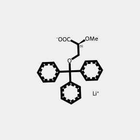 CO[C@@H](COC(c1ccccc1)(c1ccccc1)c1ccccc1)C(=O)[O-].[Li+]